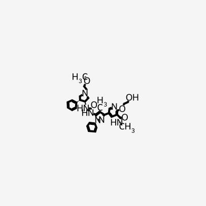 CNC(=O)c1cc(-c2nn(-c3ccccc3)c(NC(=O)N[C@@H]3CN(CCOC)C[C@H]3c3ccccc3)c2C)cnc1OCCO